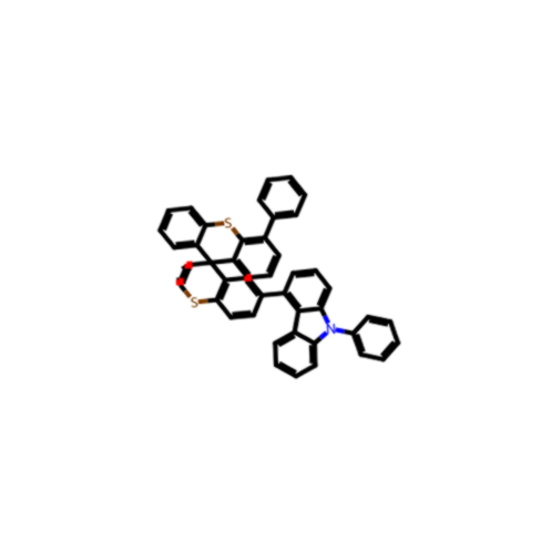 c1ccc(-c2cccc3c2Sc2ccccc2C32c3ccccc3Sc3ccc(-c4cccc5c4c4ccccc4n5-c4ccccc4)cc32)cc1